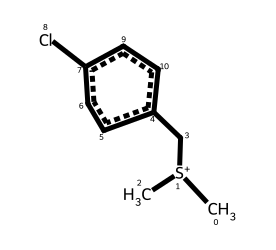 C[S+](C)Cc1ccc(Cl)cc1